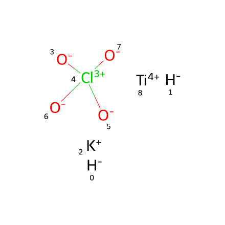 [H-].[H-].[K+].[O-][Cl+3]([O-])([O-])[O-].[Ti+4]